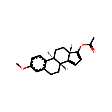 COc1ccc2c(c1)CC[C@H]1C3=CC=C(OC(C)=O)[C@H]3CC[C@H]21